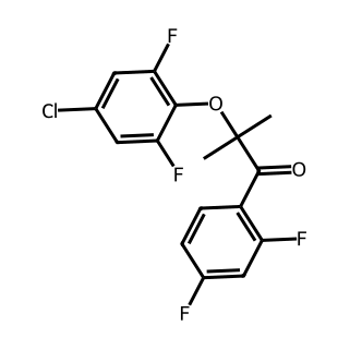 CC(C)(Oc1c(F)cc(Cl)cc1F)C(=O)c1ccc(F)cc1F